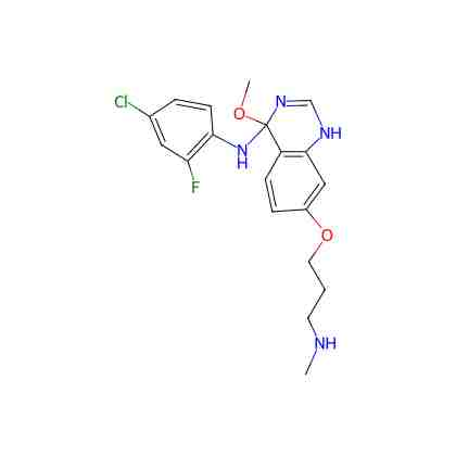 CNCCCOc1ccc2c(c1)NC=NC2(Nc1ccc(Cl)cc1F)OC